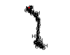 CN(C)C(=O)c1cc2cnc(Nc3ccc(N4CCN(CCOCCOCCOCCNC(=O)CNc5cccc6c5C(=O)N(C5CCC(=O)NC5=O)C6=O)CC4)cn3)nc2n1C1CCCC1